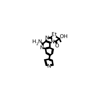 CCc1nc2c(N)nc3cc(-c4ccncc4)ccc3c2n1C(=O)C(C)(C)O